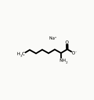 CCCCCCC(N)C(=O)[O-].[Na+]